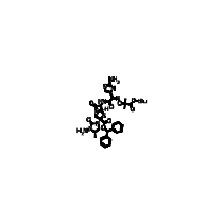 C[C@@H]1CN([C@]2(C(=O)OC(c3ccccc3)c3ccccc3)CN3C(=O)[C@@H](NC(=O)/C(=N\OC(C)(C)C(=O)OC(C)(C)C)c4csc(N)n4)[C@H]3S2)C(=O)N1N